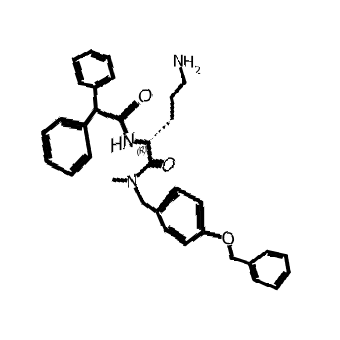 CN(Cc1ccc(OCc2ccccc2)cc1)C(=O)[C@@H](CCCN)NC(=O)C(c1ccccc1)c1ccccc1